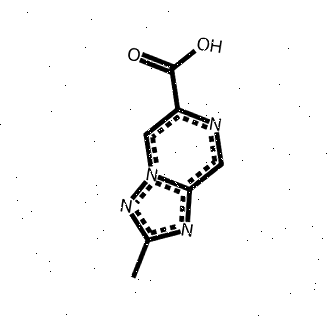 Cc1nc2cnc(C(=O)O)cn2n1